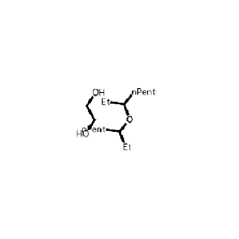 CCCCCC(CC)OC(CC)CCCCC.OCCO